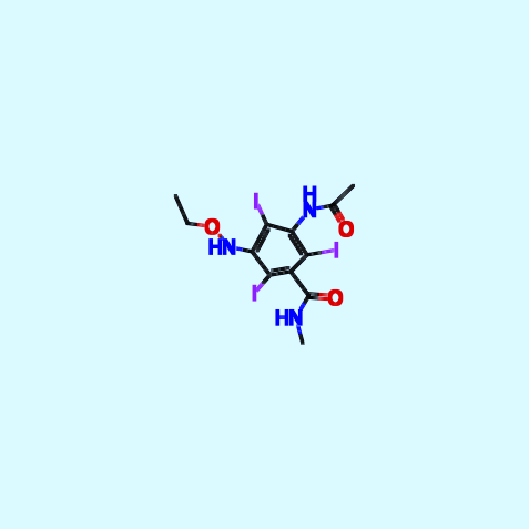 CCONc1c(I)c(NC(C)=O)c(I)c(C(=O)NC)c1I